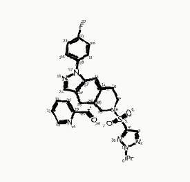 CC(C)n1ncc(S(=O)(=O)N2CCC3=Cc4c(cnn4-c4ccc(F)cc4)C[C@]3(C(=O)c3ccccn3)C2)n1